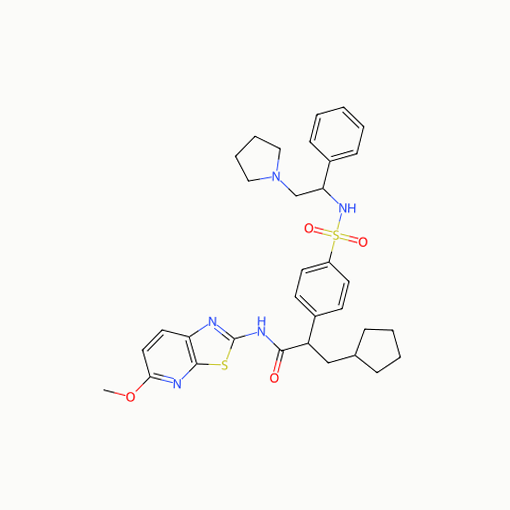 COc1ccc2nc(NC(=O)C(CC3CCCC3)c3ccc(S(=O)(=O)NC(CN4CCCC4)c4ccccc4)cc3)sc2n1